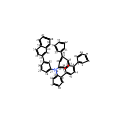 c1ccc(-c2ccc(-c3ccccc3N(c3cccc(-c4ccccc4)c3)c3cccc(-c4ccc5ccccc5c4)c3)cc2)cc1